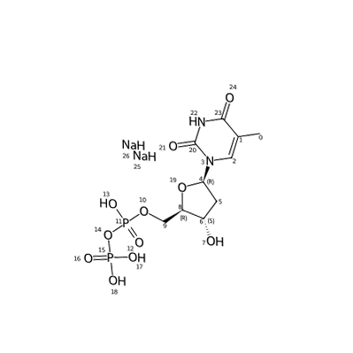 Cc1cn([C@H]2C[C@H](O)[C@@H](COP(=O)(O)OP(=O)(O)O)O2)c(=O)[nH]c1=O.[NaH].[NaH]